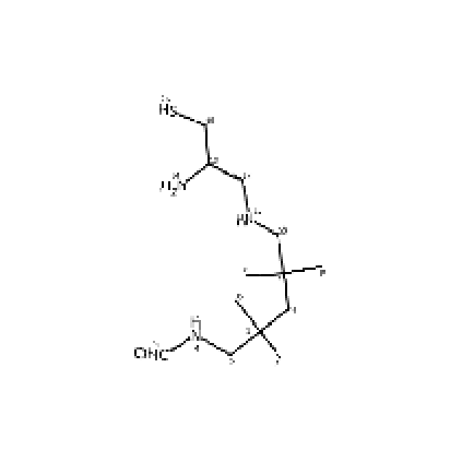 CC(C)(CNC=O)CC(C)(C)CNCC(N)CS